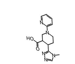 Cn1cnnc1C1CCN(c2ccccn2)CC1C(=O)O